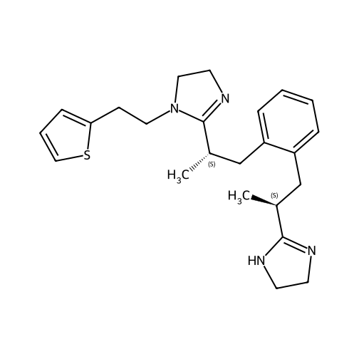 C[C@@H](Cc1ccccc1C[C@H](C)C1=NCCN1CCc1cccs1)C1=NCCN1